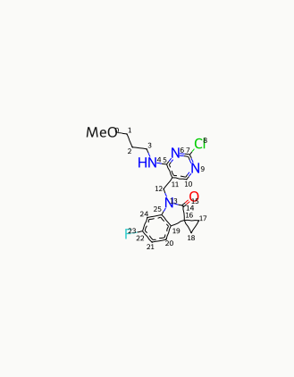 COCCCNc1nc(Cl)ncc1CN1C(=O)C2(CC2)c2ccc(F)cc21